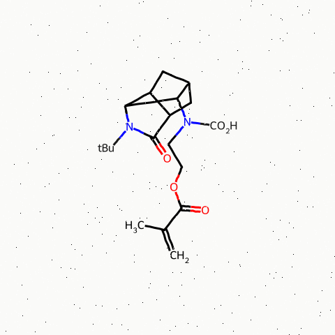 C=C(C)C(=O)OCCN(C(=O)O)C1C2CC3C(=O)N(C(C)(C)C)C1C3C2